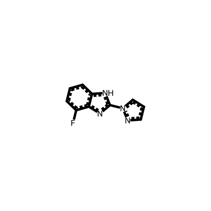 Fc1cccc2[nH]c(-n3cccn3)nc12